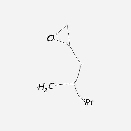 [CH2]C(CC1CO1)C(C)C